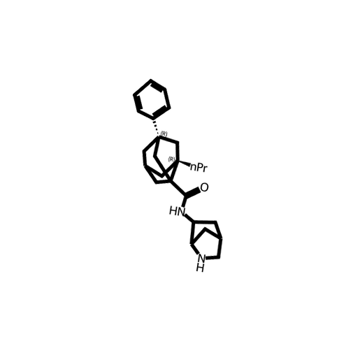 CCC[C@]12CC3CC1(C(=O)NC1CC4CNC1C4)C[C@@](c1ccccc1)(C3)C2